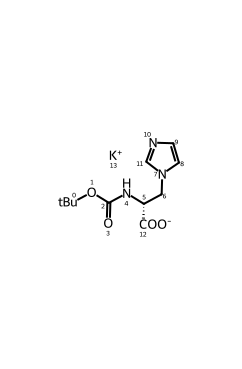 CC(C)(C)OC(=O)N[C@H](Cn1ccnc1)C(=O)[O-].[K+]